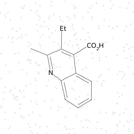 CCc1c(C)nc2ccccc2c1C(=O)O